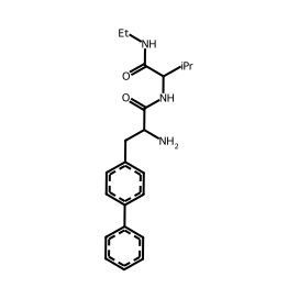 CCNC(=O)C(NC(=O)C(N)Cc1ccc(-c2ccccc2)cc1)C(C)C